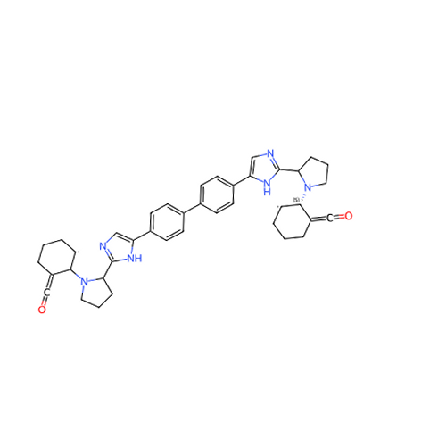 O=C=C1CCC[CH]C1N1CCCC1c1ncc(-c2ccc(-c3ccc(-c4cnc(C5CCCN5[C@H]5[CH]CCCC5=C=O)[nH]4)cc3)cc2)[nH]1